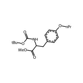 CCCOc1ccc(CC(NC(=O)OC(C)(C)C)C(=O)OC)cc1